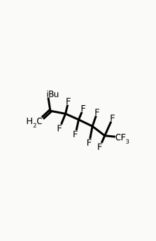 C=C(C(C)CC)C(F)(F)C(F)(F)C(F)(F)C(F)(F)C(F)(F)F